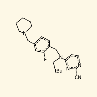 CC(C)(C)CN(Cc1ccc(CN2CCCCC2)cc1F)c1ccnc(C#N)n1